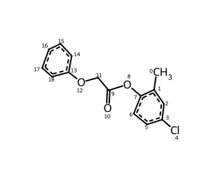 Cc1cc(Cl)ccc1OC(=O)COc1ccccc1